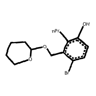 CCCc1c(O)ccc(Br)c1COC1CCCCO1